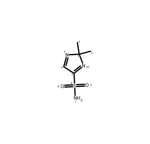 CC1(C)N=CC(S(N)(=O)=O)=N1